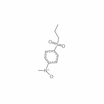 CCCS(=O)(=O)c1ccc([N+](C)[O])cc1